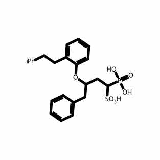 CC(C)CCc1ccccc1OC(Cc1ccccc1)CC(P(=O)(O)O)S(=O)(=O)O